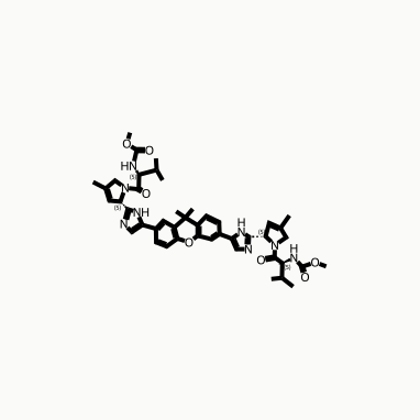 COC(=O)N[C@H](C(=O)N1CC(C)=C[C@H]1c1ncc(-c2ccc3c(c2)Oc2ccc(-c4cnc([C@@H]5C=C(C)CN5C(=O)[C@@H](NC(=O)OC)C(C)C)[nH]4)cc2C3(C)C)[nH]1)C(C)C